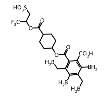 BCc1c(B)c(CB)c(C(=O)OC2CCC(C(=O)OC(CS(=O)(=O)O)C(F)(F)F)CC2)c(C(=O)O)c1B